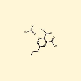 COCc1cnc(C(=O)O)c(C(=O)O)c1.O=[N+]([O-])O